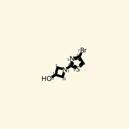 OC1CN(c2nc(Br)cs2)C1